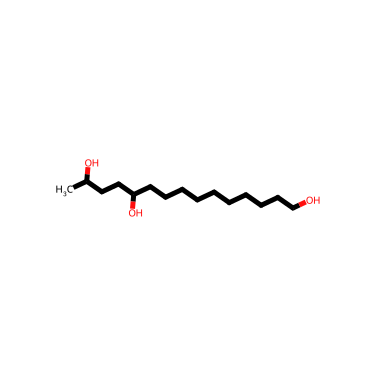 CC(O)CCC(O)CCCCCCCCCCO